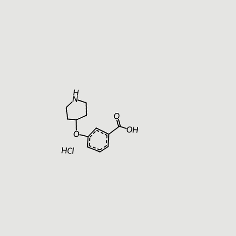 Cl.O=C(O)c1cccc(OC2CCNCC2)c1